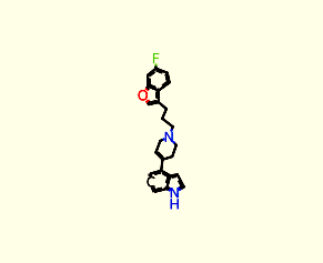 Fc1ccc2c(CCCN3CC=C(c4cccc5[nH]ccc45)CC3)coc2c1